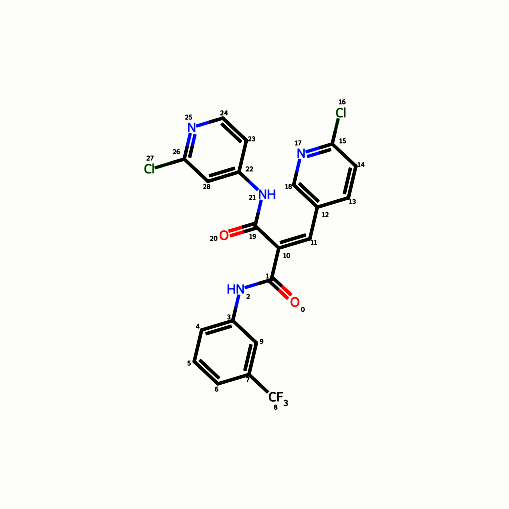 O=C(Nc1cccc(C(F)(F)F)c1)C(=Cc1ccc(Cl)nc1)C(=O)Nc1ccnc(Cl)c1